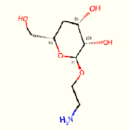 NCCO[C@H]1O[C@H](CO)C[C@H](O)[C@@H]1O